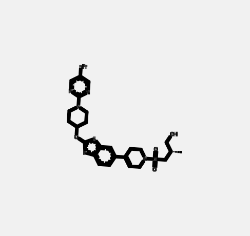 CCCc1cnc(N2CCC(Oc3nc4ccc(C5=CCN(S(=O)(=O)C[C@@H](C)CO)CC5)cc4s3)CC2)nc1